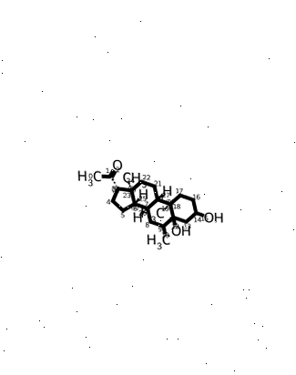 CC(=O)[C@H]1CC[C@H]2[C@@H]3CC(C)C4(O)CC(O)CC[C@]4(C)[C@H]3CC[C@]12C